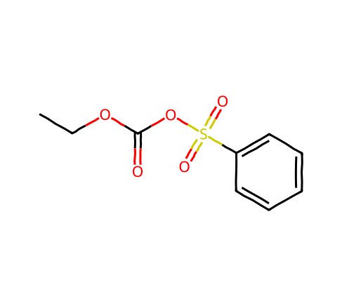 CCOC(=O)OS(=O)(=O)c1ccccc1